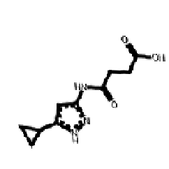 O=C(O)CCC(=O)Nc1cc(C2CC2)[nH]n1